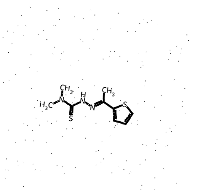 CC(=NNC(=S)N(C)C)c1cccs1